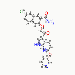 NC(=O)c1cc2cc(Cl)ccc2cc1OCC(=O)c1c[nH]c2nc(Oc3cccnc3)ccc12